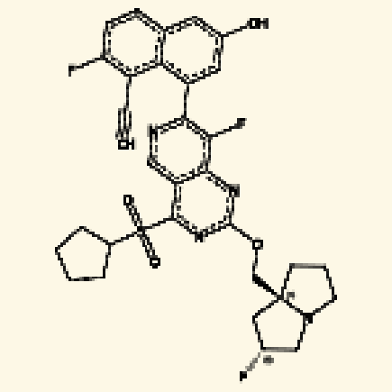 C#Cc1c(F)ccc2cc(O)cc(-c3ncc4c(S(=O)(=O)C5CCCC5)nc(OC[C@@]56CCCN5C[C@H](F)C6)nc4c3F)c12